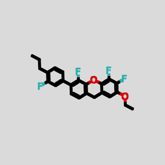 CCCc1ccc(-c2ccc3c(c2F)Oc2c(cc(OCC)c(F)c2F)C3)cc1F